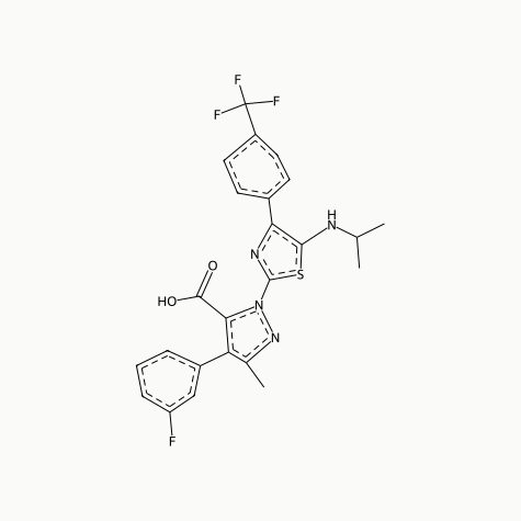 Cc1nn(-c2nc(-c3ccc(C(F)(F)F)cc3)c(NC(C)C)s2)c(C(=O)O)c1-c1cccc(F)c1